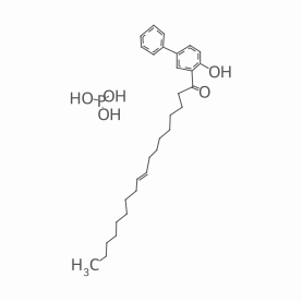 CCCCCCCCC=CCCCCCCCC(=O)c1cc(-c2ccccc2)ccc1O.OP(O)O